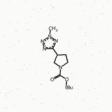 Cn1nnc(C2CCN(C(=O)OC(C)(C)C)C2)n1